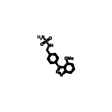 COc1cccc2nnn(-c3ccc(CNS(N)(=O)=O)cc3)c12